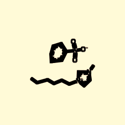 CCCCCC[n+]1ccn(C)c1.O=S(=O)([O-])c1ccccc1